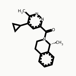 Cc1nnc(C(=O)N2CCc3ccccc3[C@H]2C)cc1C1CC1